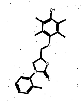 Cc1ccccc1N1CC(COc2c(C)c(C)c(O)c(C)c2C)OC1=O